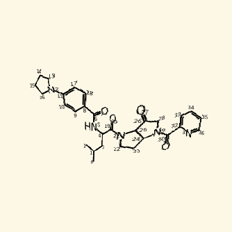 CC(C)CC(NC(=O)c1ccc(N2CCCC2)cc1)C(=O)N1CCC2C1C(=O)CN2C(=O)c1ccccn1